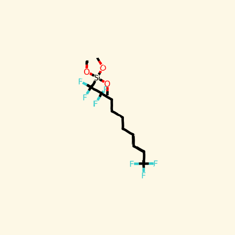 CO[Si](OC)(OC)C(F)(F)C(F)(F)CCCCCCCC(F)(F)F